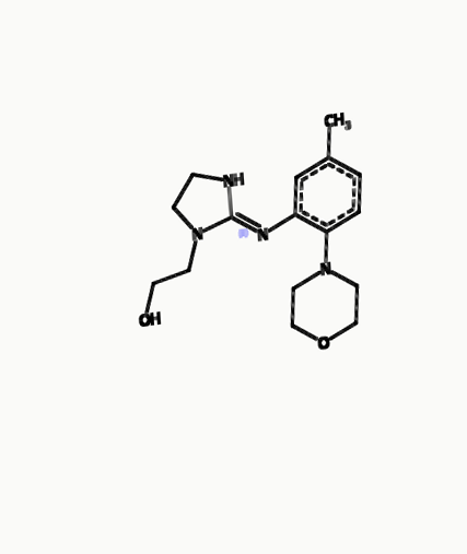 Cc1ccc(N2CCOCC2)c(/N=C2\NCCN2CCO)c1